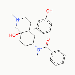 CN1CC[C@@]2(c3cccc(O)c3)C[C@H](N(C)C(=O)c3ccccc3)CC[C@]2(O)C1